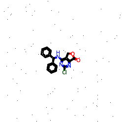 O=C1OCc2c(NC(c3ccccc3)c3ccccc3)nc(Cl)nc21